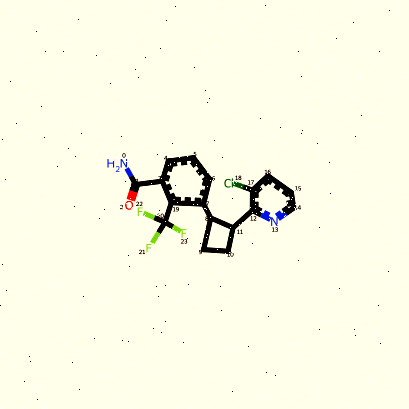 NC(=O)c1cccc(C2CCC2c2ncccc2Cl)c1C(F)(F)F